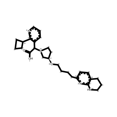 O=C(O)C(c1cccnc1C1CCC1)N1CC[C@@H](OCCCCc2ccc3c(n2)NCCC3)C1